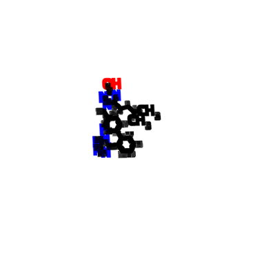 CC(C)CCc1nc(O)nn1Cc1ccc(-c2ccccc2-c2nnn[nH]2)cc1